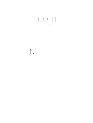 C[C@@H](C(=O)O)N1CCCC1c1ccccc1